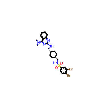 CN(C)c1nc(NC[C@H]2CC[C@H](CNS(=O)(=O)c3ccc(Br)c(Br)c3)CC2)nc2ccccc12